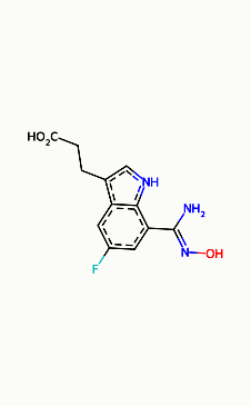 N/C(=N\O)c1cc(F)cc2c(CCC(=O)O)c[nH]c12